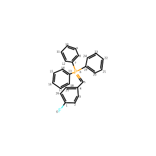 Fc1ccc(C=P(c2ccccc2)(c2ccccc2)c2ccccc2)cc1